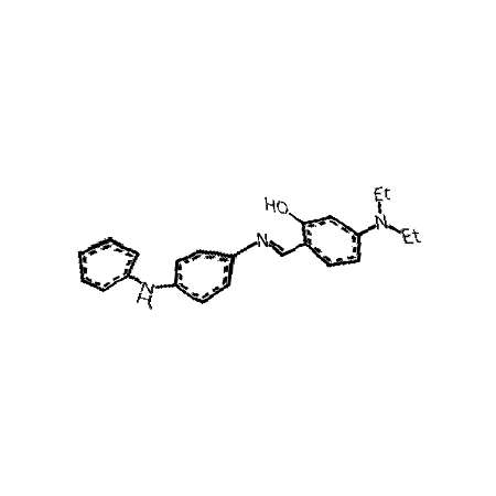 CCN(CC)c1ccc(C=Nc2ccc(Nc3ccccc3)cc2)c(O)c1